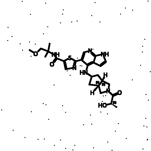 COCC(C)(C)NC(=O)c1cnc(-c2cnc3[nH]ccc3c2NC2C[C@@H]3CN(C(=O)[C@H](C)O)C[C@@H]3C2)s1